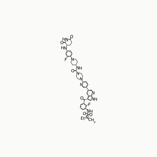 CCN(C)S(=O)(=O)Nc1cccc(C(=O)c2c[nH]c3ncc(-c4ccc(N5CCN(C(=O)NC6CCN(c7ccc(NC8CCC(=O)NC8=O)cc7F)CC6)CC5)nc4)cc23)c1F